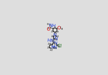 CNC(=O)c1cc(OC)cc(-n2cnc(Nc3nc(Cl)nn4cccc34)c2)c1